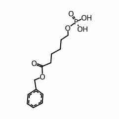 O=C(CCCCCOP(=O)(O)O)OCc1ccccc1